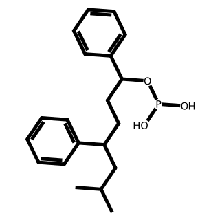 CC(C)CC(CCC(OP(O)O)c1ccccc1)c1ccccc1